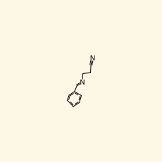 N#CCC/N=C/c1ccccc1